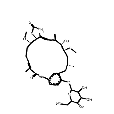 CO[C@H]1CC/C=C(\C)C(=O)Nc2ccc(OC3OC(CO)C(O)C(O)C3O)c(c2)C[C@@H](C)C[C@H](OC)[C@@H](O)C(C)/C=C(\C)[C@@H]1OC(N)=O